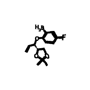 Bc1cc(F)ccc1OC(C=C)[C@@H]1COC(C)(C)O1